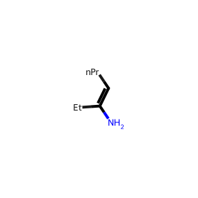 CCC/C=C(/N)CC